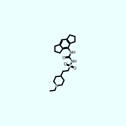 CCN1CCC(CCS(=O)(=O)NC(=O)Nc2c3c(cc4c2CCC4)CCC3)CC1